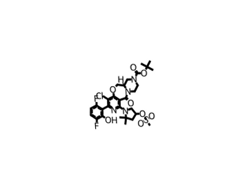 CC(C)(C)OC(=O)N1CCN2C(=O)c3c(N4CC(OS(C)(=O)=O)CC4(C)C)nc(-c4c(F)ccc(F)c4O)c(Cl)c3OC[C@H]2C1